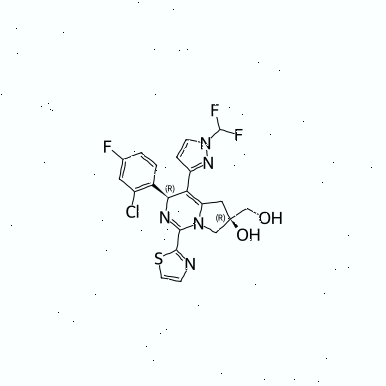 OC[C@@]1(O)CC2=C(c3ccn(C(F)F)n3)[C@H](c3ccc(F)cc3Cl)N=C(c3nccs3)N2C1